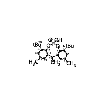 Cc1cc2c(c(C(C)(C)C)c1)OP(=O)(O)Oc1c(cc(C)cc1C(C)(C)C)C2C